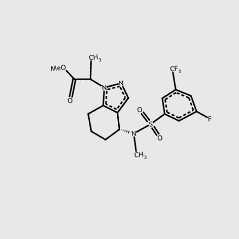 COC(=O)C(C)n1ncc2c1CCC[C@H]2N(C)S(=O)(=O)c1cc(F)cc(C(F)(F)F)c1